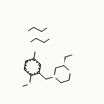 CCOc1ccc(Cl)cc1CN1CCO[C@H](CN)C1.O=C(O)CCC(=O)O.O=C(O)CCC(=O)O